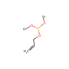 C=CCOP(OCC)OCC